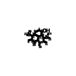 C=CC(c1ccc(O)c(C(C=C)N(C)C)c1C(C=C)N(C)C)N(C)C